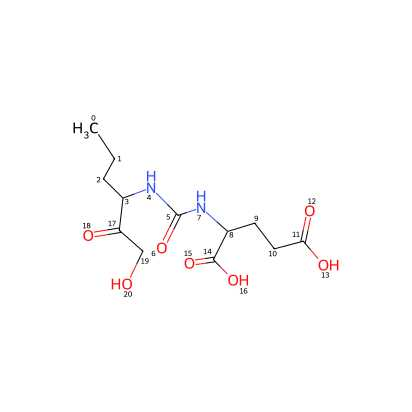 CCCC(NC(=O)NC(CCC(=O)O)C(=O)O)C(=O)CO